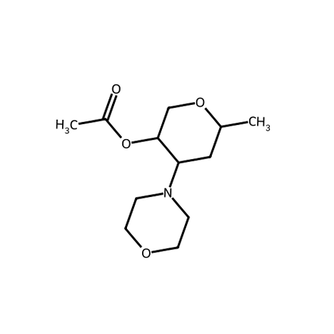 CC(=O)OC1COC(C)CC1N1CCOCC1